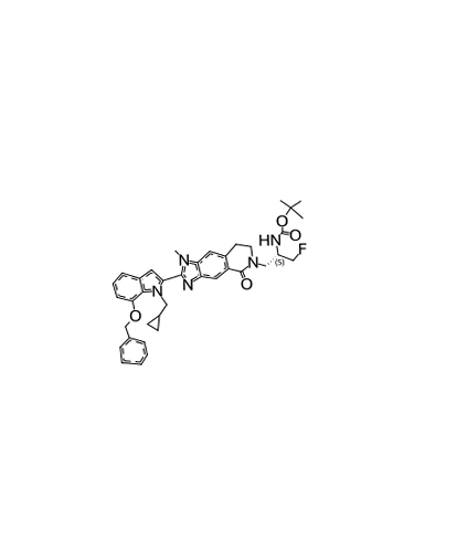 Cn1c(-c2cc3cccc(OCc4ccccc4)c3n2CC2CC2)nc2cc3c(cc21)CCN(C[C@@H](CF)NC(=O)OC(C)(C)C)C3=O